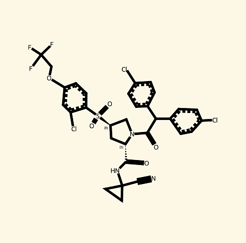 N#CC1(NC(=O)[C@@H]2C[C@@H](S(=O)(=O)c3ccc(OCC(F)(F)F)cc3Cl)CN2C(=O)C(c2ccc(Cl)cc2)c2ccc(Cl)cc2)CC1